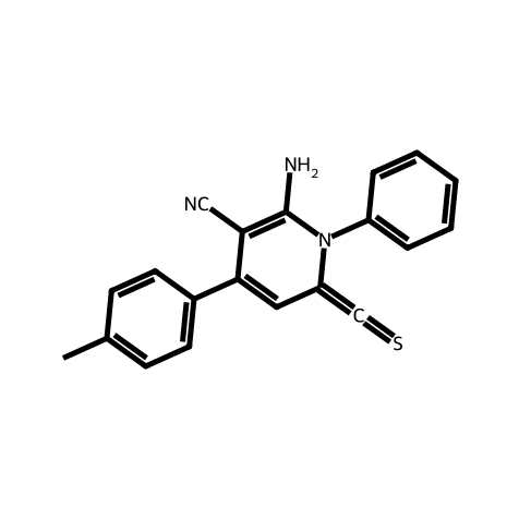 Cc1ccc(C2=CC(=C=S)N(c3ccccc3)C(N)=C2C#N)cc1